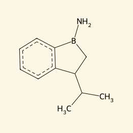 CC(C)C1CB(N)c2ccccc21